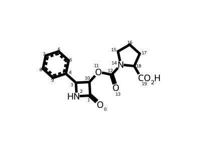 O=C1NC(c2ccccc2)C1OC(=O)N1CCCC1C(=O)O